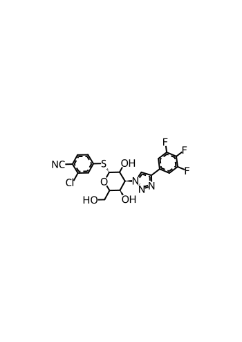 N#Cc1ccc(S[C@H]2OC(CO)[C@H](O)[C@H](n3cc(-c4cc(F)c(F)c(F)c4)nn3)C2O)cc1Cl